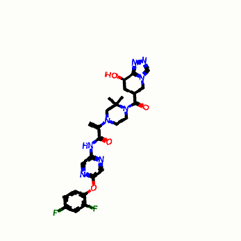 C=C(C(=O)Nc1cnc(Oc2ccc(F)cc2F)cn1)N1CCN(C(=O)C2CC(O)c3nncn3C2)C(C)(C)C1